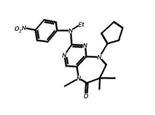 CCN(c1ccc([N+](=O)[O-])cc1)c1ncc2c(n1)N(C1CCCC1)CC(C)(C)C(=O)N2C